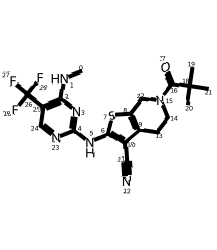 CNc1nc(Nc2sc3c(c2C#N)CCN(C(=O)C(C)(C)C)C3)ncc1C(F)(F)F